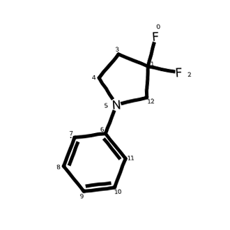 FC1(F)CCN(c2[c]cccc2)C1